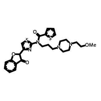 COCCN1CCN(CCCN(C(=O)c2cccs2)c2nc(C3Oc4ccccc4C3=O)cs2)CC1